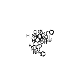 CN(C)[C@@H]1c2onc(OCc3ccccc3)c2C(=O)[C@@]2(O[Si](C)(C)C(C)(C)C)C(O)=C3C(=O)c4c(c(F)nc(N)c4OCc4ccccc4)C[C@H]3C[C@@H]12